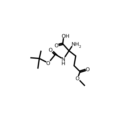 COC(=O)CCC(N)(NC(=O)OC(C)(C)C)C(=O)O